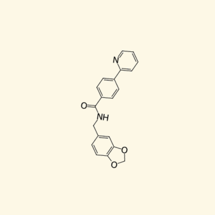 O=C(NCc1ccc2c(c1)OCO2)c1ccc(-c2ccccn2)cc1